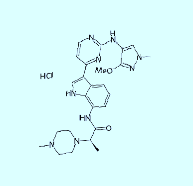 COc1nn(C)cc1Nc1nccc(-c2c[nH]c3c(NC(=O)[C@@H](C)N4CCN(C)CC4)cccc23)n1.Cl